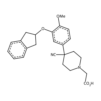 COc1ccc(C2(C#N)CCN(CC(=O)O)CC2)cc1OC1Cc2ccccc2C1